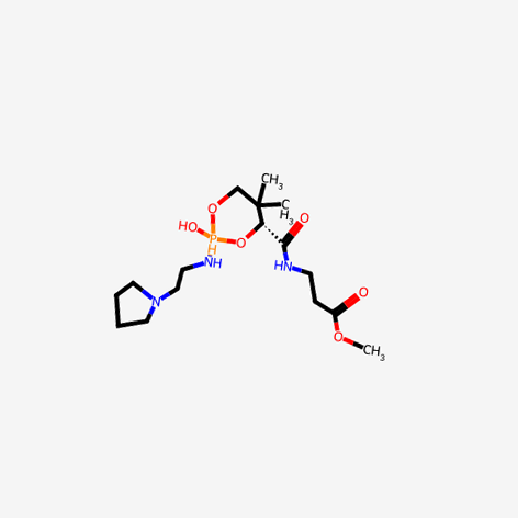 COC(=O)CCNC(=O)[C@@H]1O[PH](O)(NCCN2CCCC2)OCC1(C)C